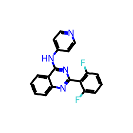 Fc1cccc(F)c1-c1nc(Nc2ccncc2)c2ccccc2n1